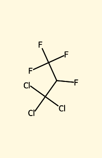 FC(C(F)(F)F)C(Cl)(Cl)Cl